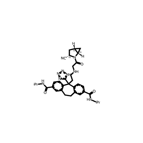 CC(C)NC(=O)c1ccc2c(c1)CCc1cc(C(=O)NC(C)C)ccc1C2(CCNCC(=O)N1[C@H](C#N)C[C@@H]2C[C@@H]21)c1nnn[nH]1